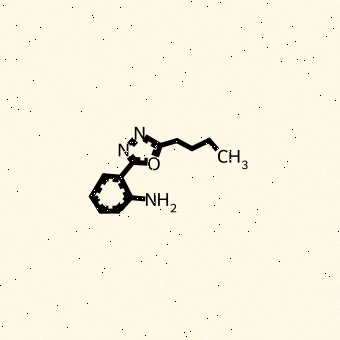 CCCCc1nnc(-c2ccccc2N)o1